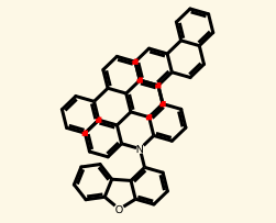 C1=c2cccc(-c3ccccc3)c2=C(c2ccccc2N(c2cccc(-c3cccc4c3ccc3ccccc34)c2)c2cccc3oc4ccccc4c23)CC1